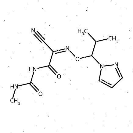 CNC(=O)NC(=O)C(C#N)=NOC(C(C)C)n1cccn1